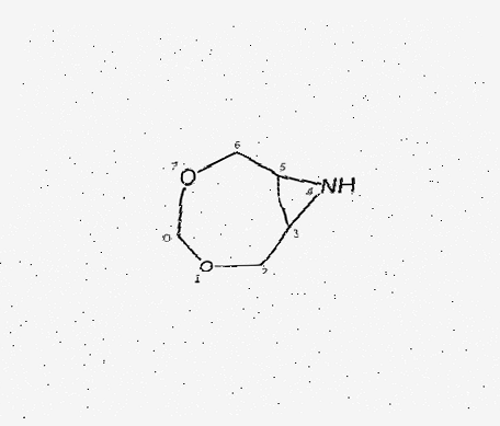 C1OCC2NC2CO1